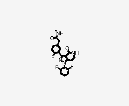 CNC(=O)Cc1ccc(F)c(-c2nn(-c3c(F)cccc3F)c3cc[nH]c(=O)c23)c1